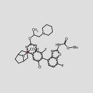 CC(CN1CCCCC1)Oc1nc(N2C3CCC2CN(C(=O)O)C3)c2cc(Cl)c(-c3ccc(F)c4sc(NC(=O)OC(C)(C)C)nc34)c(F)c2n1